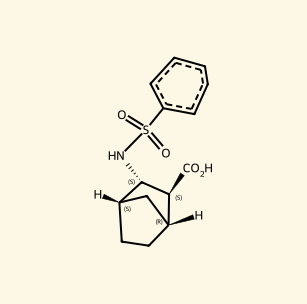 O=C(O)[C@H]1[C@@H]2CC[C@@H](C2)[C@@H]1NS(=O)(=O)c1ccccc1